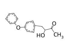 CC(=O)C(O)Cc1ccc(Oc2ccccc2)cc1